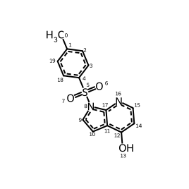 Cc1ccc(S(=O)(=O)n2ccc3c(O)ccnc32)cc1